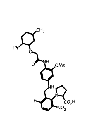 COc1cc(NCc2c(F)ccc([N+](=O)[O-])c2N2CCCC2C(=O)O)ccc1NC(=O)COC1CC(C)CCC1C(C)C